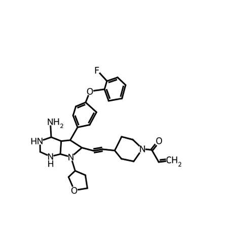 C=CC(=O)N1CCC(C#CC2C(c3ccc(Oc4ccccc4F)cc3)C3C(N)NCNC3N2C2CCOC2)CC1